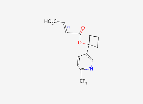 O=C(O)/C=C/C(=O)OC1(c2ccc(C(F)(F)F)nc2)CCC1